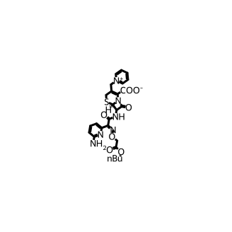 CCCCOC(=O)CON=C(C(=O)NC1C(=O)N2C(C(=O)[O-])=C(C[n+]3ccccc3)CS[C@@H]12)c1cccc(N)n1